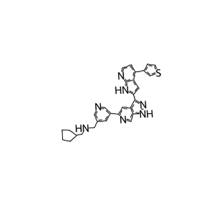 c1cc(-c2ccsc2)c2cc(-c3n[nH]c4cnc(-c5cncc(CNCC6CCCC6)c5)cc34)[nH]c2n1